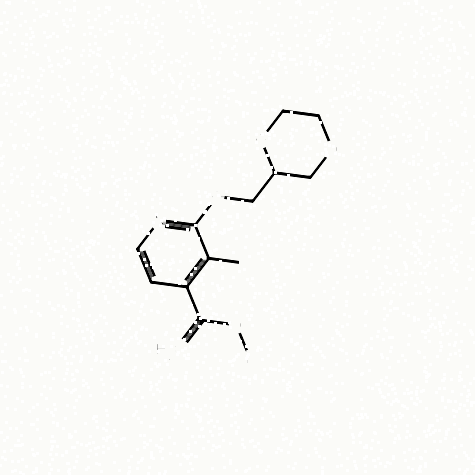 C=C(OCC)c1ccnc(OCC2COCCO2)c1F